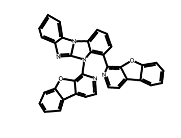 c1ccc2c(c1)nc1n(-c3nccc4c3oc3ccccc34)c3c(-c4nccc5c4oc4ccccc45)cccc3n21